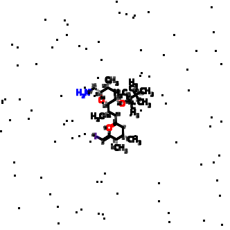 C[C@H](/C=C/I)[C@@H](C)CC(=O)C[C@H](C)[C@@H]1O[C@H](CN)[C@H](C)C[C@@H]1O[Si](C)(C)C(C)(C)C